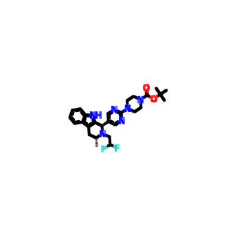 C[C@@H]1Cc2c([nH]c3ccccc23)[C@@H](c2cnc(N3CCN(C(=O)OC(C)(C)C)CC3)nc2)N1CC(F)F